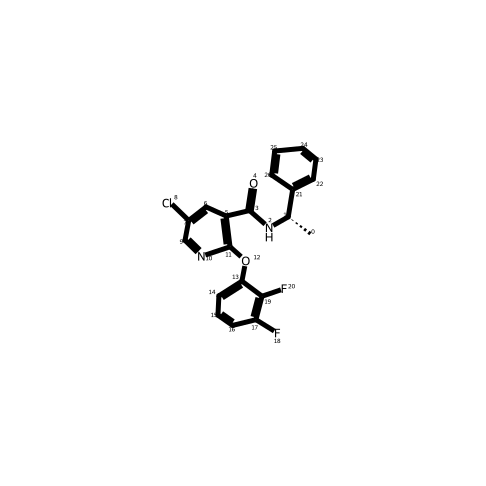 C[C@H](NC(=O)c1cc(Cl)cnc1Oc1cccc(F)c1F)c1ccccc1